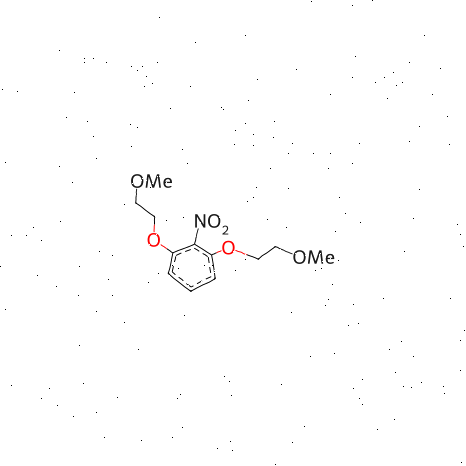 COCCOc1cccc(OCCOC)c1[N+](=O)[O-]